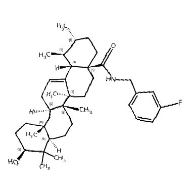 C[C@H]1[C@H](C)CC[C@]2(C(=O)NCc3cccc(F)c3)CC[C@]3(C)C(=CC[C@@H]4[C@@]5(C)CC[C@H](O)C(C)(C)[C@@H]5CC[C@]43C)[C@H]12